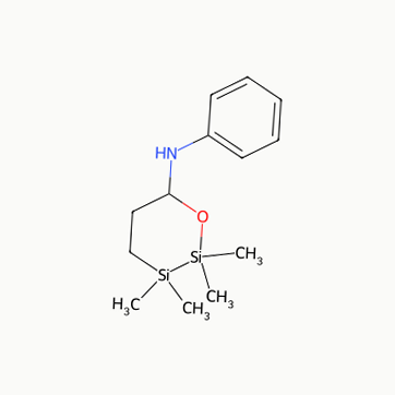 C[Si]1(C)CCC(Nc2ccccc2)O[Si]1(C)C